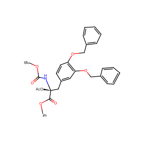 CC(=O)O[C@](Cc1ccc(OCc2ccccc2)c(OCc2ccccc2)c1)(NC(=O)OC(C)(C)C)C(=O)OC(C)C